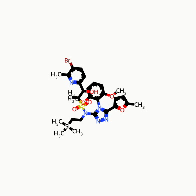 COc1cccc(OC)c1-n1c(-c2ccc(C)o2)nnc1N(CC[Si](C)(C)C)S(=O)(=O)C(C)C(O)c1ccc(Br)c(C)n1